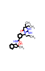 CCC[C@H](c1cccc(C(=O)N[C@H]2c3ccccc3CC2(C)O)c1)N1C(=N)NC(CC)(CC)CC1=O